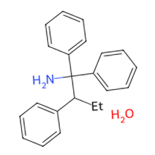 CCC(c1ccccc1)C(N)(c1ccccc1)c1ccccc1.O